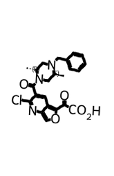 C[C@@H]1CN(Cc2ccccc2)[C@@H](C)CN1C(=O)c1cc2c(C(=O)C(=O)O)occ2nc1Cl